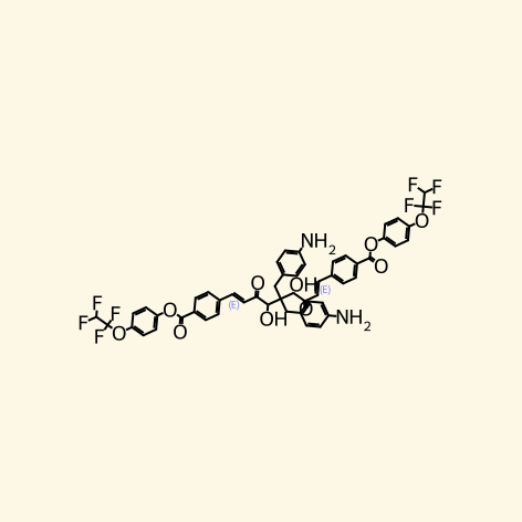 Nc1ccc(CC(Cc2ccc(N)cc2)(C(O)C(=O)/C=C/c2ccc(C(=O)Oc3ccc(OC(F)(F)C(F)F)cc3)cc2)C(O)C(=O)/C=C/c2ccc(C(=O)Oc3ccc(OC(F)(F)C(F)F)cc3)cc2)cc1